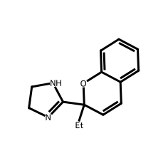 CCC1(C2=NCCN2)C=Cc2ccccc2O1